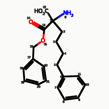 NC(CCCCc1ccccc1)(C(=O)O)C(=O)OCc1ccccc1